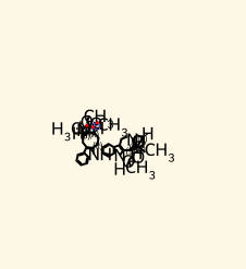 C/C=C1/CN(C)[C@H]2Cc3c([nH]c4ccccc34)[C@@H](c3ccc4[nH]c5c(c4c3)CCN3C[C@@H]4C[C@H](CC)[C@H]3[C@@]5(C(=O)OC)C4)C[C@@H]1[C@@H]2C(=O)OC